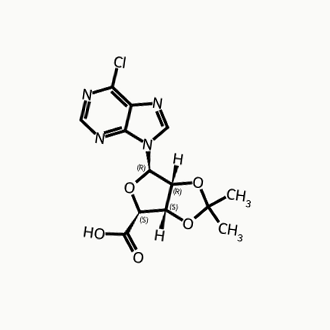 CC1(C)O[C@@H]2[C@H](O1)[C@@H](C(=O)O)O[C@H]2n1cnc2c(Cl)ncnc21